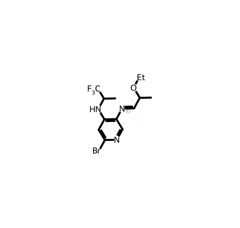 CCOC(C)/C=N/c1cnc(Br)cc1NC(C)C(F)(F)F